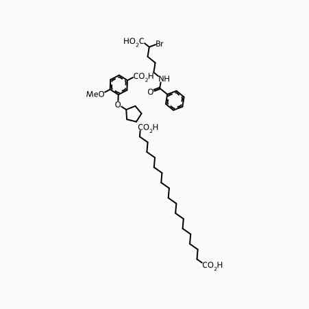 COc1ccc(C(=O)O)cc1OC1CCCC1.O=C(NCCCC(Br)C(=O)O)c1ccccc1.O=C(O)CCCCCCCCCCCCCCCCCC(=O)O